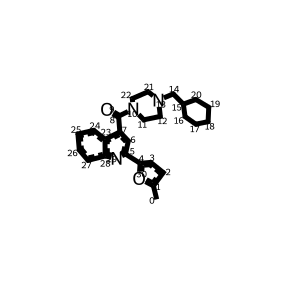 Cc1ccc(-c2cc(C(=O)N3CCN(CC4CCCCC4)CC3)c3ccccc3n2)o1